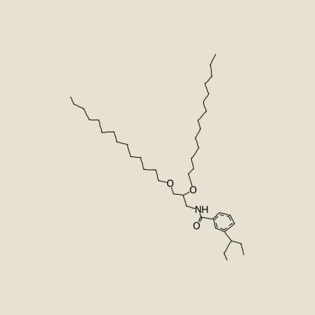 CCCCCCCCCCCCCCOCC(CNC(=O)c1cccc(C(CC)CC)c1)OCCCCCCCCCCCCCC